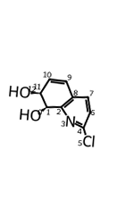 O[C@@H]1c2nc(Cl)ccc2C=C[C@@H]1O